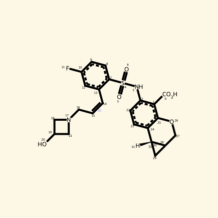 O=C(O)c1c(NS(=O)(=O)c2ccc(F)cc2/C=C\CN2CC(O)C2)ccc2c1OCC1C[C@H]21